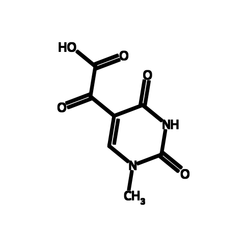 Cn1cc(C(=O)C(=O)O)c(=O)[nH]c1=O